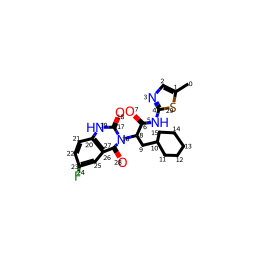 Cc1cnc(NC(=O)C(CC2CCCCC2)n2c(=O)[nH]c3ccc(F)cc3c2=O)s1